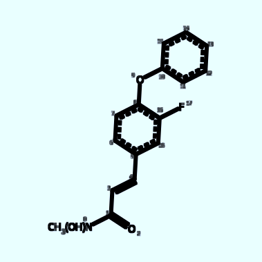 CN(O)C(=O)C=Cc1ccc(Oc2ccccc2)c(F)c1